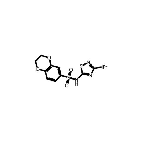 CC(C)c1nsc(NS(=O)(=O)c2ccc3c(c2)OCCO3)n1